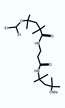 CCC(CC)OC(C)(C)CC(C)(C)C(=O)NCCC(=O)NC(C)(C)CC(C)(C)OC